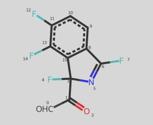 O=CC(=O)C1(F)N=C(F)c2ccc(F)c(F)c21